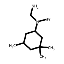 CC1CC(N(CN)C(C)C)CC(C)(C)C1